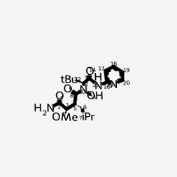 CO[C@H](C(N)=O)[C@@H](CC(C)C)C(=O)N(O)[C@H](C(=O)Nc1ccccn1)C(C)(C)C